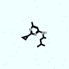 Cc1cc(NC(C)CC(C)C)nc(C2CC2)n1